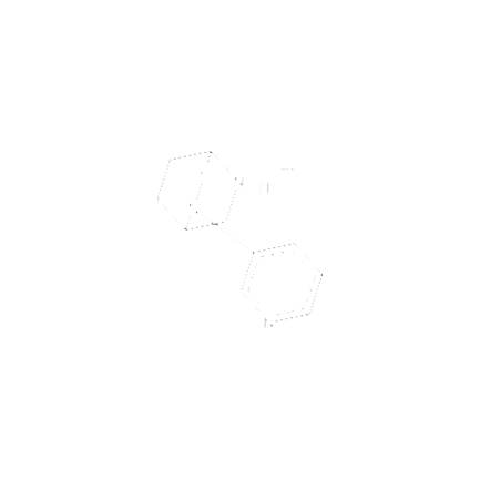 Cl.Cl.c1cncc(N2CC3CCC2CN3)c1